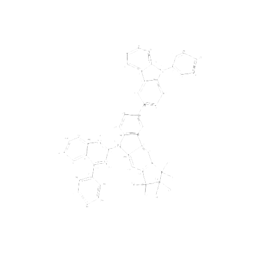 CC1(C)c2cc3c4cc(-c5ccc6c(c5)c5ccccc5n6-c5ccccc5)ccc4n(-c4nc(-c5ccccc5)c5ccccc5n4)c3cc2C(C)(C)C1(C)C